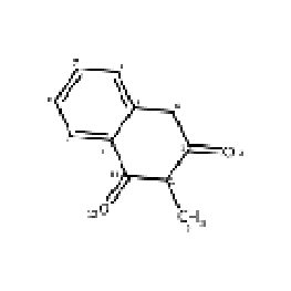 CC1C(=O)Cc2ccccc2C1=O